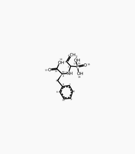 C=CC(N[C@@H](Cc1ccccc1)C(=O)O)P(=O)(O)O